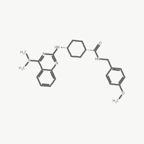 COc1ccc(CNC(=O)[C@H]2CC[C@@H](Nc3nc(N(C)C)c4ccccc4n3)CC2)cc1